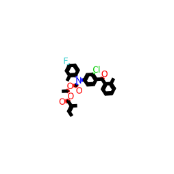 C/C=C(\C)C(=O)OC(C)OC(=O)N(c1ccc(C(=O)c2ccccc2C)c(Cl)c1)c1ccc(F)cc1C